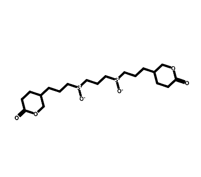 O=C1CCC(CCC[S+]([O-])CCC[S+]([O-])CCCC2CCC(=O)OC2)CO1